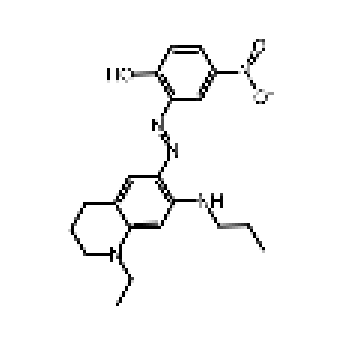 CCCNc1cc2c(cc1N=Nc1cc([N+](=O)[O-])ccc1O)CCCN2CC